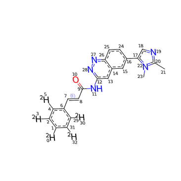 [2H]c1c([2H])c([2H])c(/C=C/C(=O)Nc2cc3cc(-c4cnc(C)n4C)ccc3nn2)c([2H])c1[2H]